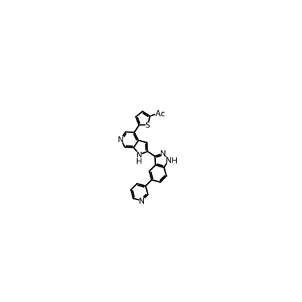 CC(=O)c1ccc(-c2cncc3[nH]c(-c4n[nH]c5ccc(-c6cccnc6)cc45)cc23)s1